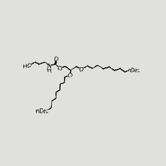 CCCCCCCCCCCCCCCCCCOC[C@H](COC(=O)NCCCO)OCCCCCCCCCCCCCCCCCC